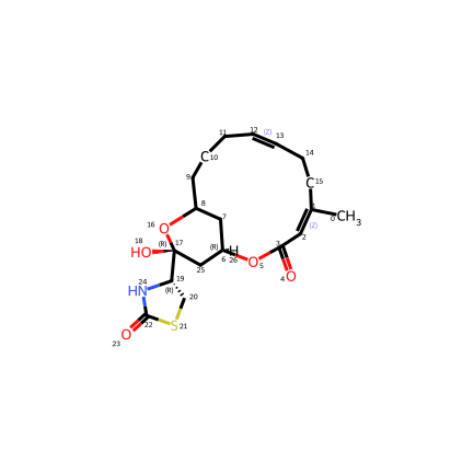 C/C1=C/C(=O)O[C@@H]2CC(CCC/C=C\CC1)O[C@@](O)([C@@H]1CSC(=O)N1)C2